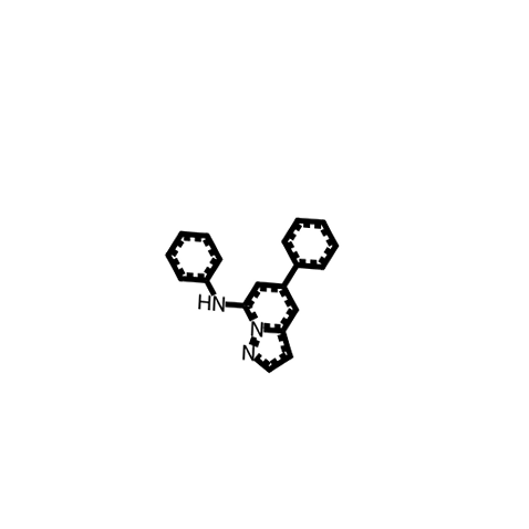 c1ccc(Nc2cc(-c3ccccc3)cc3ccnn23)cc1